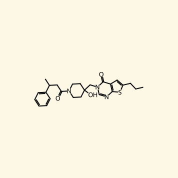 CCCc1cc2c(=O)n(CC3(O)CCN(C(=O)CC(C)c4ccccc4)CC3)cnc2s1